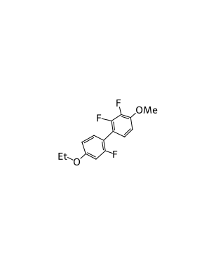 CCOc1ccc(-c2ccc(OC)c(F)c2F)c(F)c1